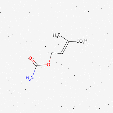 CC(=CCOC(N)=O)C(=O)O